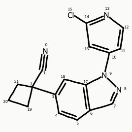 N#CC1(c2ccc3cnn(-c4ccnc(Cl)c4)c3c2)CCC1